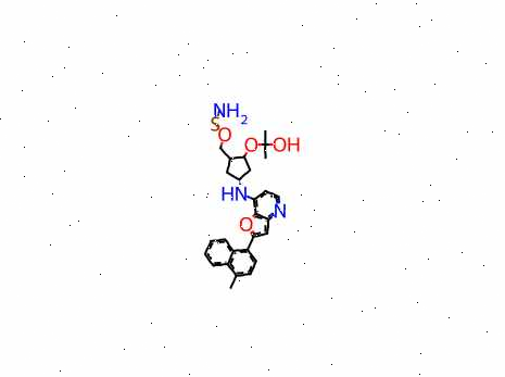 Cc1ccc(-c2cc3nccc(N[C@@H]4CC(COSN)C(OC(C)(C)O)C4)c3o2)c2ccccc12